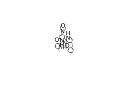 Cc1cccc(CNC2(c3cc(N4CCOCC4)cc(=O)[nH]3)NC=CC3=C2Oc2ccccc2C3)n1